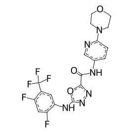 O=C(Nc1ccc(N2CCOCC2)nc1)c1nnc(Nc2cc(C(F)(F)F)c(F)cc2F)o1